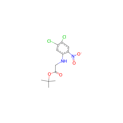 CC(C)(C)OC(=O)CNc1cc(Cl)c(Cl)cc1[N+](=O)[O-]